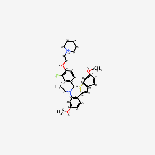 CCN(Cc1ccc(OCCN2CCCCC2)c(F)c1)c1cc(OC)ccc1-c1cc2ccc(OC)cc2s1